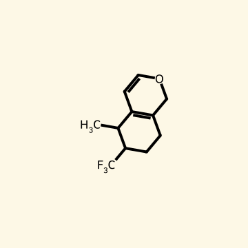 CC1C2=C(CCC1C(F)(F)F)COC=C2